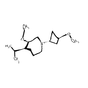 CO[C@H]1CN([C@H]2C[C@H](OC)C2)CC[C@H]1C(C)C